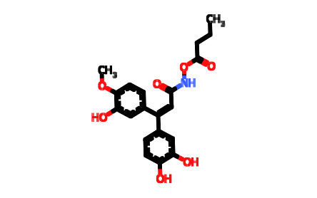 CCCC(=O)ONC(=O)/C=C(/c1ccc(O)c(O)c1)c1ccc(OC)c(O)c1